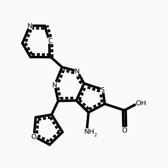 Nc1c(C(=O)O)sc2nc(-c3ccncc3)nc(-c3ccoc3)c12